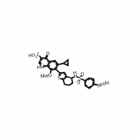 COc1c(-c2cc3c(s2)CCCC3NS(=O)(=O)c2ccc(NC(C)=O)cc2)c(C2CC2)cc2c(=O)c(C(=O)O)c[nH]c12